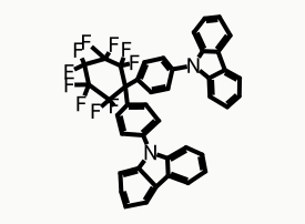 FC1(F)C(F)(F)C(F)(F)C(c2ccc(-n3c4ccccc4c4ccccc43)cc2)(c2ccc(-n3c4ccccc4c4ccccc43)cc2)C(F)(F)C1(F)F